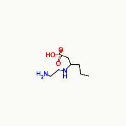 CCCC(CS(=O)(=O)O)NCCN